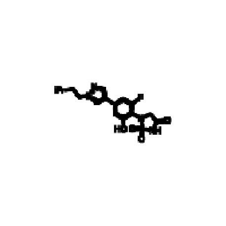 CC(C)CCn1cc(-c2cc(O)c(N3CC(=O)NS3(=O)=O)c(F)c2)cn1